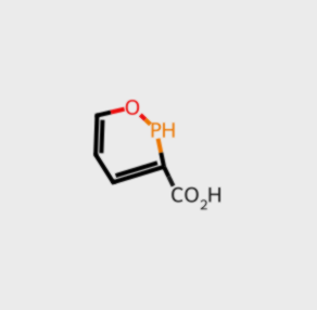 O=C(O)C1=CC=COP1